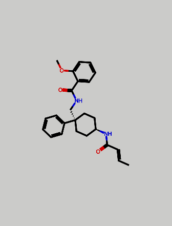 CC=CC(=O)N[C@H]1CC[C@@](CNC(=O)c2ccccc2OC)(c2ccccc2)CC1